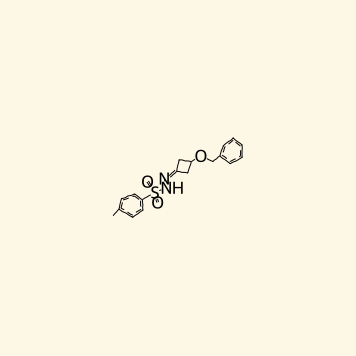 Cc1ccc(S(=O)(=O)NN=C2CC(OCc3ccccc3)C2)cc1